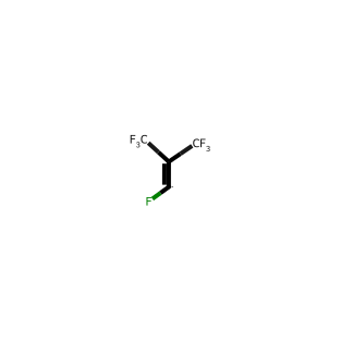 F[C]=C(C(F)(F)F)C(F)(F)F